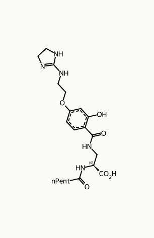 CCCCCC(=O)N[C@@H](CNC(=O)c1ccc(OCCNC2=NCCN2)cc1O)C(=O)O